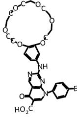 CCc1ccc(-n2cc(C(=O)O)c(=O)c3cnc(Nc4ccc5c(c4)OCCOCCOCCOCCOCCO5)nc32)cc1